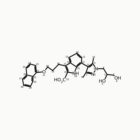 Cc1nn(CC(O)CO)c(C)c1-c1cccc2c(CCCOc3cccc4ccccc34)c(C(=O)O)[nH]c12